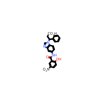 O=C(O)CC(c1ccccc1)n1cnc2cc(NC(=O)c3cc([N+](=O)[O-])ccc3O)ccc21